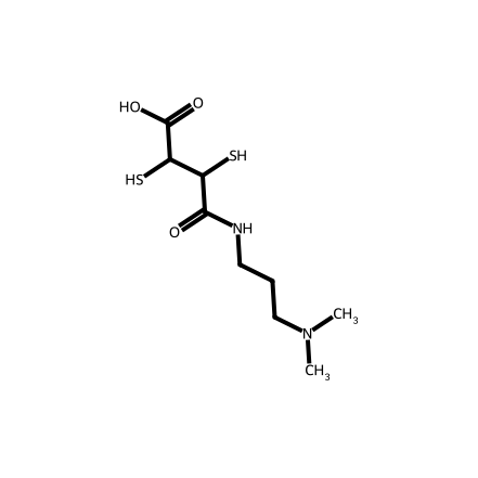 CN(C)CCCNC(=O)C(S)C(S)C(=O)O